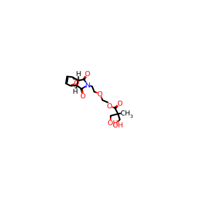 CC(CO)(CO)C(=O)OCCOCCN1C(=O)[C@@H]2C3C=CC(O3)[C@@H]2C1=O